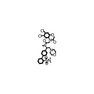 CN(C(=O)CN1C(=O)COc2cc(Cl)c(Cl)cc21)C(CN1CCOCC1)c1ccc(-c2ccccc2S(=O)(=O)N(C)C)cc1